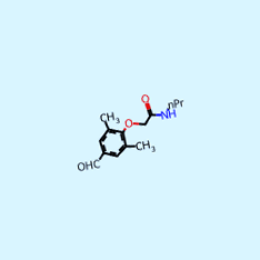 CCCNC(=O)COc1c(C)cc(C=O)cc1C